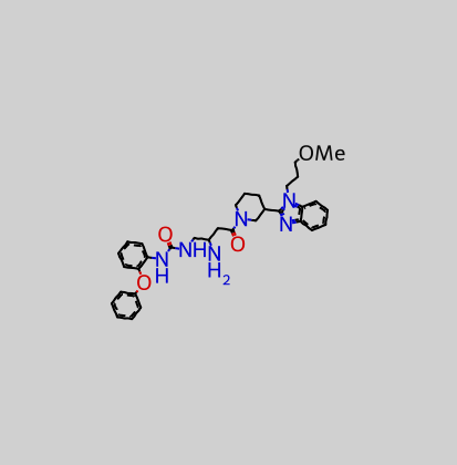 COCCCn1c(C2CCCN(C(=O)CC(N)CNC(=O)Nc3ccccc3Oc3ccccc3)C2)nc2ccccc21